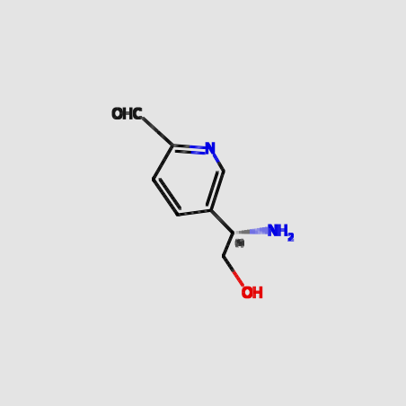 N[C@H](CO)c1ccc(C=O)nc1